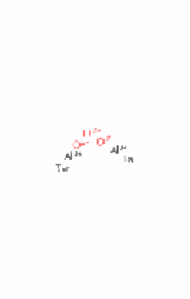 [Al+3].[Al+3].[O-2].[O-2].[O-2].[Ta].[Ta]